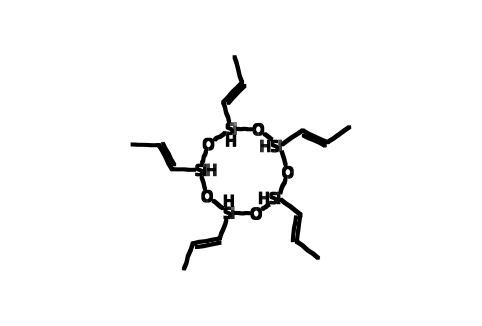 CC=C[SiH]1O[SiH](C=CC)O[SiH](C=CC)O[SiH](C=CC)O[SiH](C=CC)O1